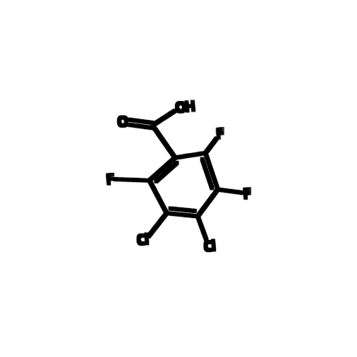 O=C(O)c1c(F)c(F)c(Cl)c(Cl)c1F